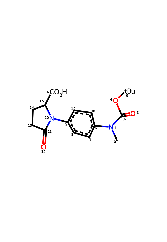 CN(C(=O)OC(C)(C)C)c1ccc(N2C(=O)CCC2C(=O)O)cc1